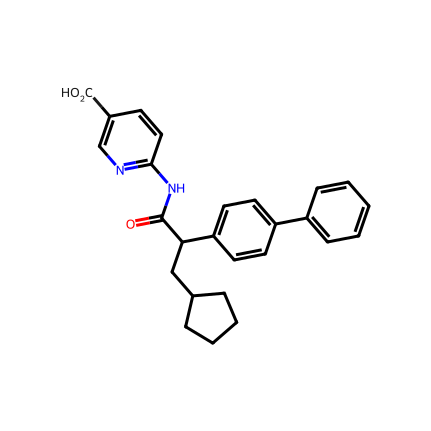 O=C(O)c1ccc(NC(=O)C(CC2CCCC2)c2ccc(-c3ccccc3)cc2)nc1